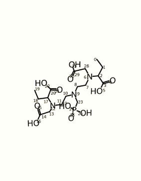 CCC(C(=O)O)N(CCN(CCN(CC(=O)O)C(CC)C(=O)O)CP(=O)(O)O)CC(=O)O